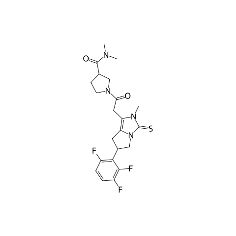 CN(C)C(=O)C1CCN(C(=O)Cc2c3n(c(=S)n2C)CC(c2c(F)ccc(F)c2F)C3)C1